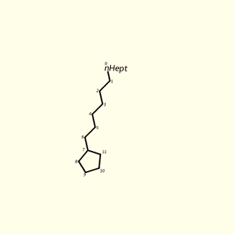 [CH2]CCCCCCCCCCCCC1CCCC1